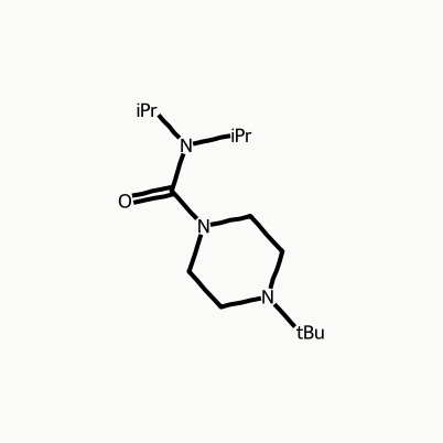 CC(C)N(C(=O)N1CCN(C(C)(C)C)CC1)C(C)C